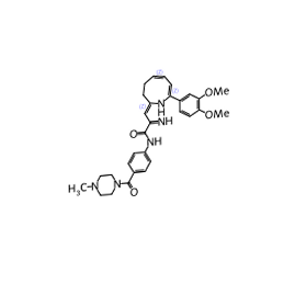 COc1ccc(/C2=C/C=C\CC/C(=C/C(=N)C(=O)Nc3ccc(C(=O)N4CCN(C)CC4)cc3)N2)cc1OC